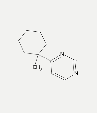 CC1(c2ccn[c]n2)CCCCC1